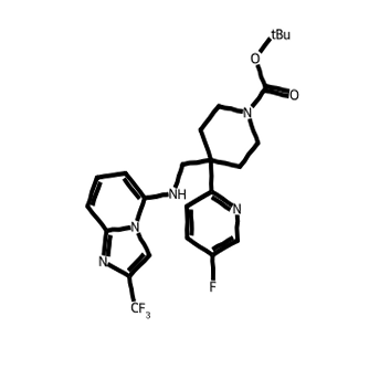 CC(C)(C)OC(=O)N1CCC(CNc2cccc3nc(C(F)(F)F)cn23)(c2ccc(F)cn2)CC1